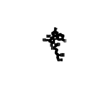 CC(C)(C)[C@@H]1N[C@@H](C(=O)NCC[C@H](O)CO)[C@H](c2cccc(Cl)c2)[C@@]1(C#N)c1cc(Br)cs1